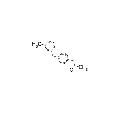 CC(=O)Cc1ccc(Cc2cccc(C)c2)cn1